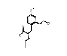 CCCC(Cc1ccc(OC)cc1CCO)C(=O)O